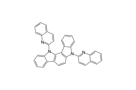 c1ccc2nc(-n3c4ccccc4c4c3ccc3c5ccccc5n(-c5ccc6ccccc6n5)c34)ccc2c1